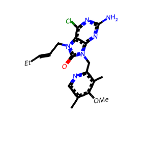 CCC=CCn1c(=O)n(Cc2ncc(C)c(OC)c2C)c2nc(N)nc(Cl)c21